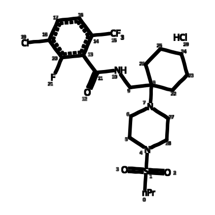 CCCS(=O)(=O)N1CCN(C2(CNC(=O)c3c(C(F)(F)F)ccc(Cl)c3F)CCCCC2)CC1.Cl